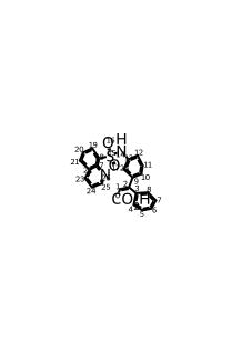 O=C(O)C=C(c1ccccc1)c1cccc(NS(=O)(=O)c2cccc3cccnc23)c1